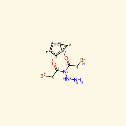 NNN(C(=O)CBr)C(=O)CBr.c1cc2cc-2c1